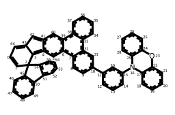 C1=CC2(C3=c4cc5c6ccc(-c7cccc(N8c9ccccc9Oc9ccccc98)c7)cc6c6ccccc6c5cc4=CC3=C1)c1ccccc1-c1ccccc12